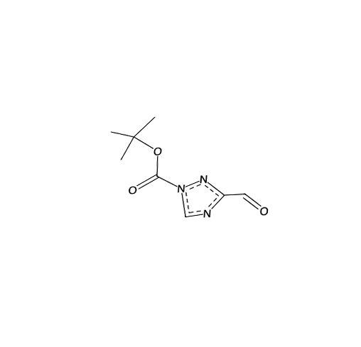 CC(C)(C)OC(=O)n1cnc(C=O)n1